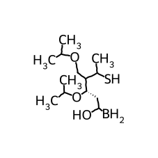 BC(O)C[C@H](OC(C)C)C(COC(C)C)C(C)S